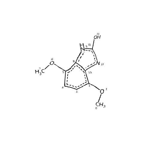 COc1ccc(OC)c2[nH]c(O)nc12